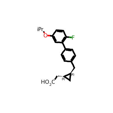 CC(C)Oc1ccc(F)c(-c2ccc(C[C@H]3C[C@@H]3CC(=O)O)cc2)c1